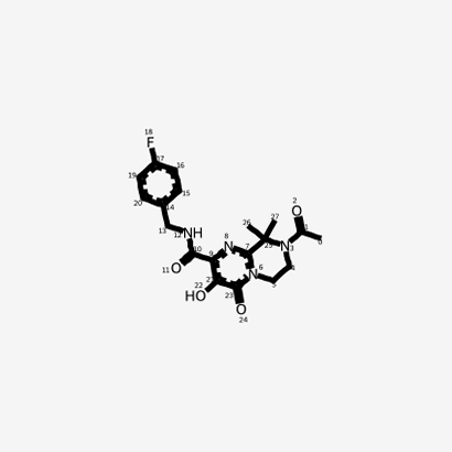 CC(=O)N1CCn2c(nc(C(=O)NCc3ccc(F)cc3)c(O)c2=O)C1(C)C